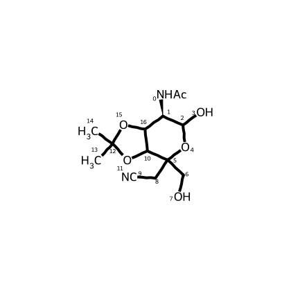 CC(=O)N[C@H]1C(O)OC(CO)(CC#N)C2OC(C)(C)OC21